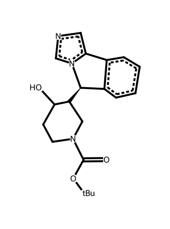 CC(C)(C)OC(=O)N1CCC(O)C([C@@H]2c3ccccc3-c3cncn32)C1